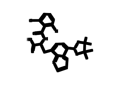 CC1(C)OB(c2ccc(CC(NC(=O)c3c(Cl)cccc3Cl)C(=O)O)c3ncccc23)OC1(C)C